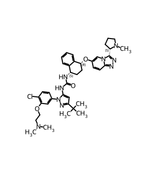 CN(C)CCOc1cc(-n2nc(C(C)(C)C)cc2NC(=O)N[C@H]2CC[C@@H](Oc3ccc4nnc([C@@H]5CCCN5C)n4c3)c3ccccc32)ccc1Cl